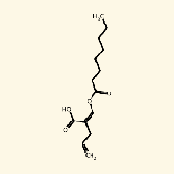 C=CCC(=COC(=O)CCCCCCC)C(=O)O